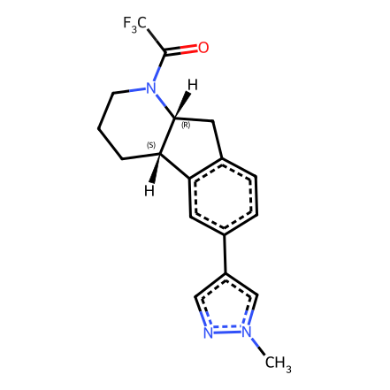 Cn1cc(-c2ccc3c(c2)[C@@H]2CCCN(C(=O)C(F)(F)F)[C@@H]2C3)cn1